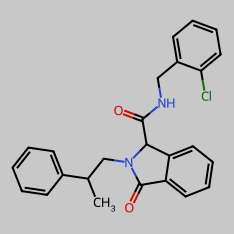 CC(CN1C(=O)c2ccccc2C1C(=O)NCc1ccccc1Cl)c1ccccc1